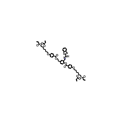 C=CC(=O)OCC(CCCCOc1ccc(C(=O)OCCc2ccc(OC(=O)c3ccc(OCCCCC(COC(=O)C=C)OC(=O)C=C)cc3)c(/C=N/Nc3nc4ccccc4s3)c2)cc1)OC(=O)C=C